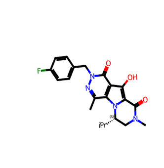 Cc1nn(Cc2ccc(F)cc2)c(=O)c2c(O)c3n(c12)[C@@H](C(C)C)CN(C)C3=O